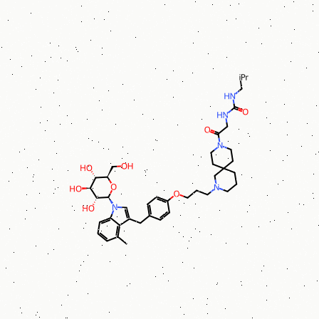 Cc1cccc2c1c(Cc1ccc(OCCCN3CCCC4(CCN(C(=O)CNC(=O)NCC(C)C)CC4)C3)cc1)cn2[C@@H]1O[C@H](CO)[C@@H](O)[C@H](O)[C@H]1O